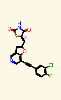 O=C1NC(=O)/C(=C/c2cc3cncc(C#Cc4ccc(Cl)c(Cl)c4)c3o2)S1